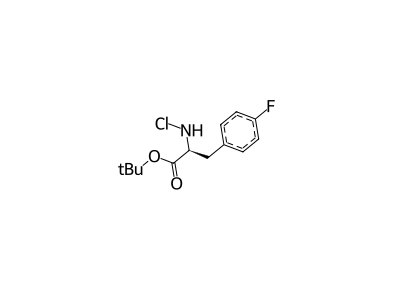 CC(C)(C)OC(=O)[C@H](Cc1ccc(F)cc1)NCl